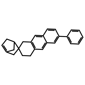 C1=C2CC(C1)C1(CCc3cc4cc(-c5ccccc5)ccc4cc3C1)C2